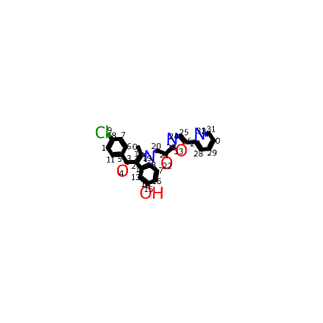 Cc1c(C(=O)c2ccc(Cl)cc2)c2cc(O)ccc2n1CC(=O)c1ncc(-c2ccccn2)o1